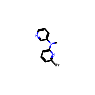 CC(C)c1cccc(N(C)c2cccnc2)n1